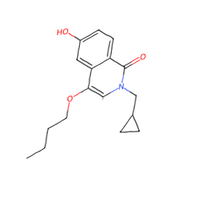 CCCCOc1[c]n(CC2CC2)c(=O)c2ccc(O)cc12